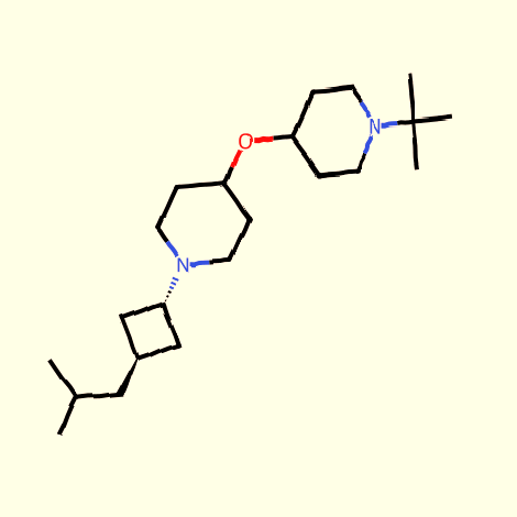 CC(C)C[C@H]1C[C@H](N2CCC(OC3CCN(C(C)(C)C)CC3)CC2)C1